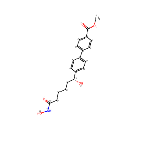 COC(=O)c1ccc(-c2ccc([C@H](O)CCCCC(=O)NO)cc2)cc1